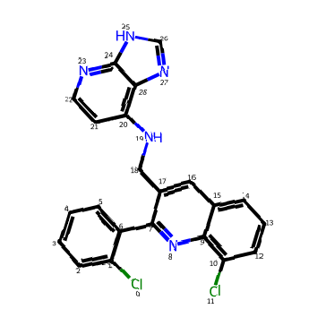 Clc1ccccc1-c1nc2c(Cl)cccc2cc1CNc1ccnc2[nH]cnc12